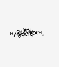 Cc1ccc(S(=O)(=O)n2ccc3c2ncc2cnc([C@@H]4CN(C(=O)OC(C)(C)C)CC[C@@H]4C)n23)cc1